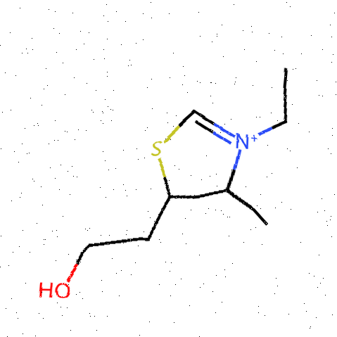 CC[N+]1=CSC(CCO)C1C